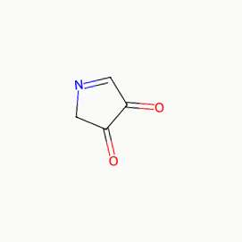 O=C1C=NCC1=O